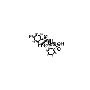 O=S(=O)(O)c1ccccc1S(=O)(=O)NS(=O)(=O)c1ccc(F)cc1Cl